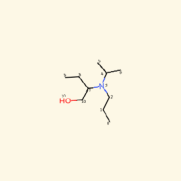 CCCN(C(C)C)C(CC)CO